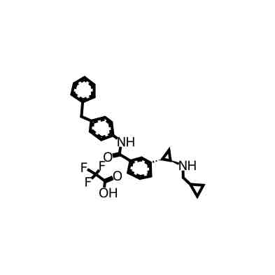 O=C(Nc1ccc(Cc2ccccc2)cc1)c1cccc([C@@H]2C[C@H]2NCC2CC2)c1.O=C(O)C(F)(F)F